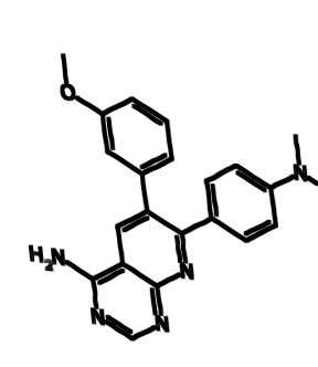 COc1cccc(-c2cc3c(N)ncnc3nc2-c2ccc(N(C)C)cc2)c1